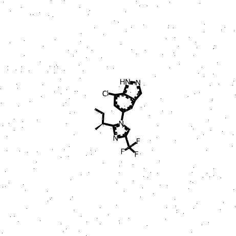 CC[C@H](C)c1nc(C(F)(F)F)cn1-c1cc(Cl)c2[nH]ncc2c1